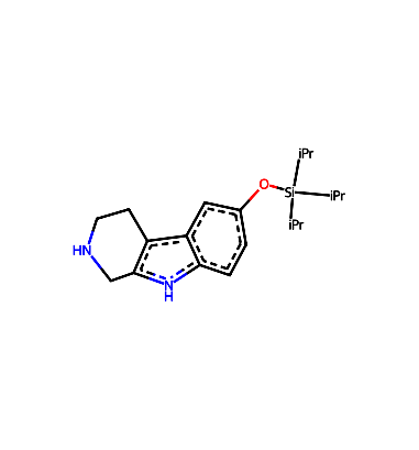 CC(C)[Si](Oc1ccc2[nH]c3c(c2c1)CCNC3)(C(C)C)C(C)C